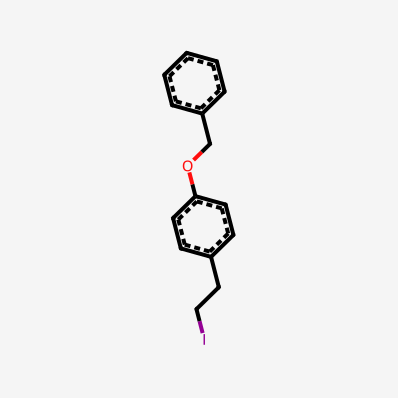 ICCc1ccc(OCc2ccccc2)cc1